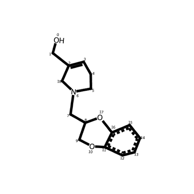 OCC1=CCCN(CC2COc3ccccc3O2)C1